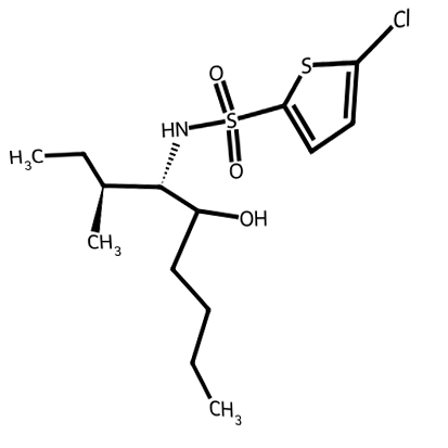 CCCCC(O)[C@@H](NS(=O)(=O)c1ccc(Cl)s1)[C@@H](C)CC